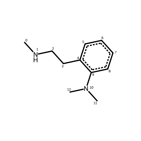 CNCCc1ccccc1N(C)C